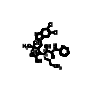 CCCC[C@@H]([C@@H](O)C(=O)Nc1ccccn1)N(C(=O)O)C(Cn1cnc2cc(Cl)c(Cl)cc21)C(C)(C)C